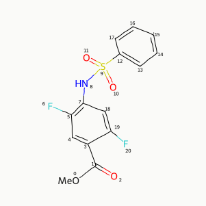 COC(=O)c1cc(F)c(NS(=O)(=O)c2cc[c]cc2)cc1F